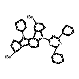 CC(C)(C)c1ccc2c(c1)c1c(ccc3c4cc(C(C)(C)C)ccc4n(-c4ccccc4)c31)n2-c1nc(-c2ccccc2)nc(-c2ccccc2)n1